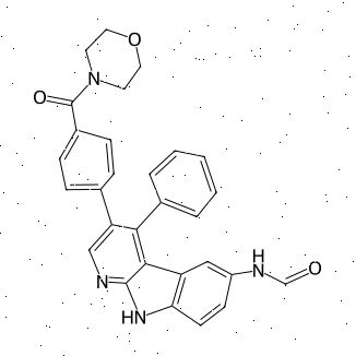 O=CNc1ccc2[nH]c3ncc(-c4ccc(C(=O)N5CCOCC5)cc4)c(-c4ccccc4)c3c2c1